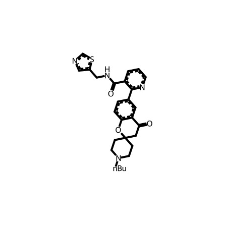 CCCCN1CCC2(CC1)CC(=O)c1cc(-c3ncccc3C(=O)NCc3cncs3)ccc1O2